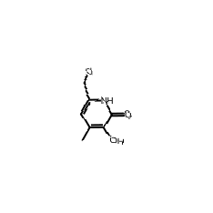 Cc1cc(CCl)[nH]c(=O)c1O